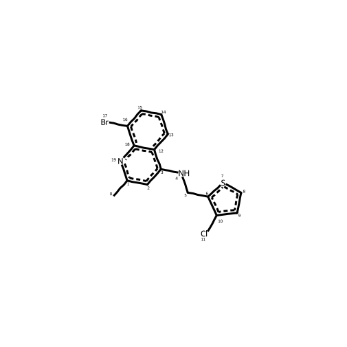 Cc1cc(NCc2sccc2Cl)c2cccc(Br)c2n1